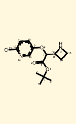 CC(C)(C)OC(=O)C(Oc1ccc(Cl)nc1)[C@@H]1CCN1